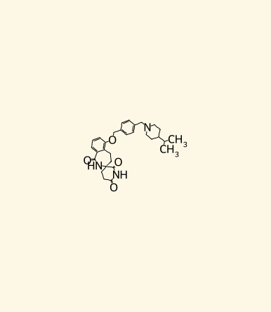 CC(C)C1CCN(Cc2ccc(COc3cccc4c3CC[C@@]3(CCC(=O)NC3=O)NC4=O)cc2)CC1